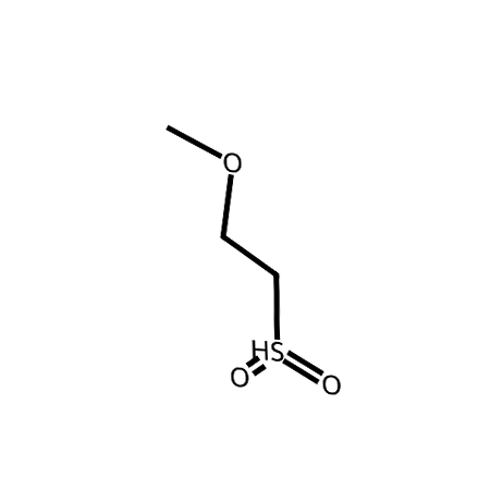 COCC[SH](=O)=O